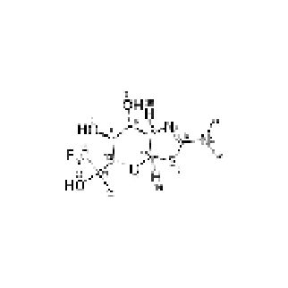 CN(C)C1=N[C@@H]2[C@@H](O)[C@H](O)[C@@H]([C@@](C)(O)C(F)(F)F)O[C@@H]2S1